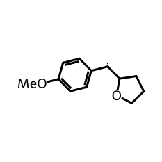 COc1ccc([CH]C2CCCO2)cc1